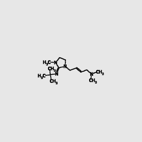 CN(C)C/C=C/CN1CCN(C)C1=NC(C)(C)C